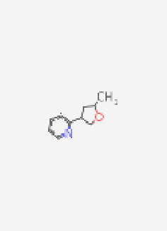 CC1CC(c2[c]cccn2)CO1